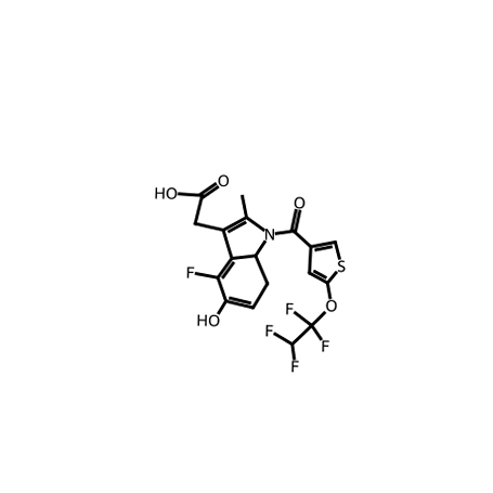 CC1=C(CC(=O)O)C2=C(F)C(O)=CCC2N1C(=O)c1csc(OC(F)(F)C(F)F)c1